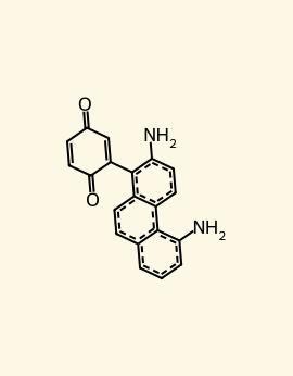 Nc1ccc2c(ccc3cccc(N)c32)c1C1=CC(=O)C=CC1=O